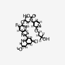 COc1cnc2c(-c3nc4cc(F)c(O[C@@H](C)[C@@H](C)N(C(=O)O)c5ccnc(OCCC(C)(C)O)c5)nc4s3)cc(Cl)cc2c1